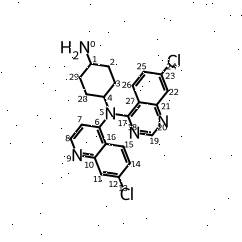 NC1CCC(N(c2ccnc3cc(Cl)ccc23)c2ncnc3cc(Cl)ccc23)CC1